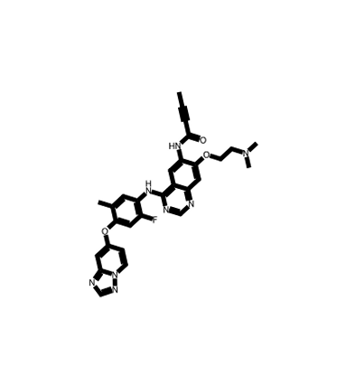 CC#CC(=O)Nc1cc2c(Nc3cc(C)c(Oc4ccn5ncnc5c4)cc3F)ncnc2cc1OCCN(C)C